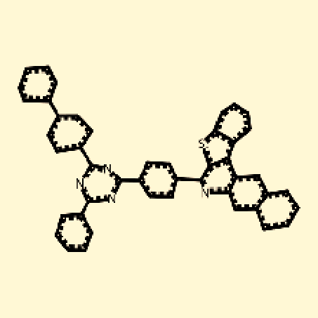 c1ccc(-c2ccc(-c3nc(-c4ccccc4)nc(-c4ccc(-c5nc6cc7ccccc7cc6c6c5sc5ccccc56)cc4)n3)cc2)cc1